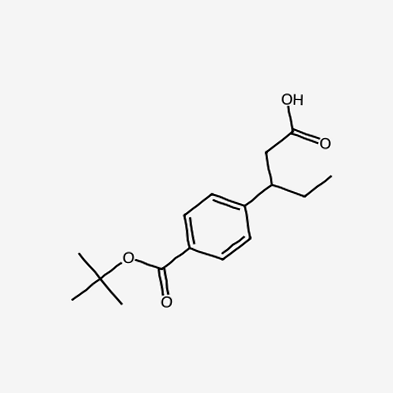 CCC(CC(=O)O)c1ccc(C(=O)OC(C)(C)C)cc1